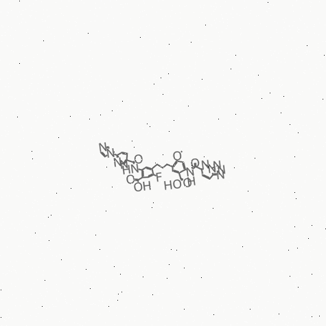 COc1cc(NC(=O)c2ccc3nnnn3n2)c(C(=O)O)cc1CCCc1cc(NC(=O)c2ccc(-n3ccnc3)nn2)c(C(=O)O)cc1F